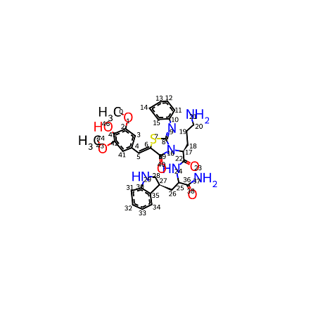 COc1cc(/C=C2\SC(=Nc3ccccc3)N([C@@H](CCCN)C(=O)NC(C[C@@H]3CNc4ccccc43)C(N)=O)C2=O)cc(OC)c1O